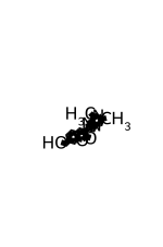 Cc1cn2cc(-c3cc4ccc(CO)cc4oc3=O)nc2c(C)n1